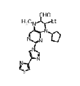 CCC1C(C=O)N(C)c2cnc(-n3cnc(-c4cscn4)c3)nc2N1C1CCCC1